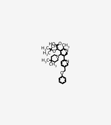 Cc1ncc(-c2ccc(COc3ccccc3)cn2)c(N2CCC(C)(C)CC2)c1C(OC(C)(C)C)C(=O)O